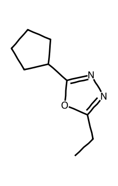 CCc1nnc(C2CCCC2)o1